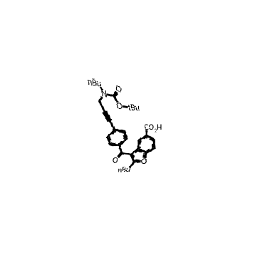 CCCCc1oc2ccc(C(=O)O)cc2c1C(=O)c1ccc(C#CCN(CCCC)C(=O)OC(C)(C)C)cc1